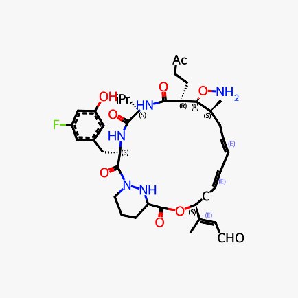 CC(=O)CC[C@H]1C(=O)N[C@@H](C(C)C)C(=O)N[C@@H](Cc2cc(O)cc(F)c2)C(=O)N2CCCC(N2)C(=O)O[C@H](/C(C)=C/C=O)C/C=C/C=C/C[C@H](C)[C@H]1ON